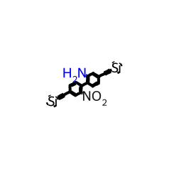 C[Si](C)(C)C#Cc1ccc(-c2ccc(C#C[Si](C)(C)C)cc2[N+](=O)[O-])c(N)c1